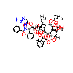 CC(=O)O[C@H]1C(=O)[C@@]2(C)C([C@H](OC(=O)c3ccccc3)[C@]3(O)C[C@H](OC(=O)[C@H](OC(=O)CN)[C@@H](NC(=O)c4ccccc4)c4ccccc4)C(C)=C1C3(C)C)[C@]1(OC(C)=O)CO[C@@H]1C[C@@H]2O